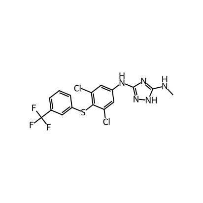 CNc1nc(Nc2cc(Cl)c(Sc3cccc(C(F)(F)F)c3)c(Cl)c2)n[nH]1